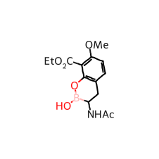 CCOC(=O)c1c(OC)ccc2c1OB(O)C(NC(C)=O)C2